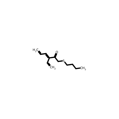 C=C/C=C(\C=C)C(=O)CSCCCC